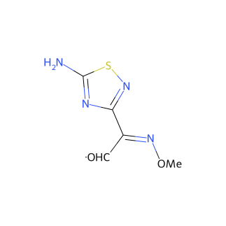 CON=C([C]=O)c1nsc(N)n1